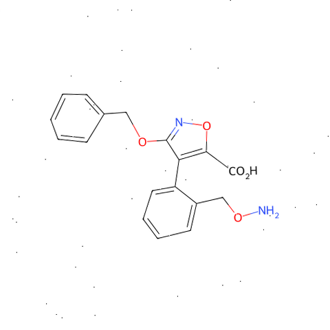 NOCc1ccccc1-c1c(OCc2ccccc2)noc1C(=O)O